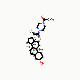 COC(=O)N1CCN(C(=O)C(C)[C@H]2CC[C@H]3[C@@H]4CC=C5C[C@@H](O)CC[C@]5(C)[C@H]4CC[C@]23C)CC1